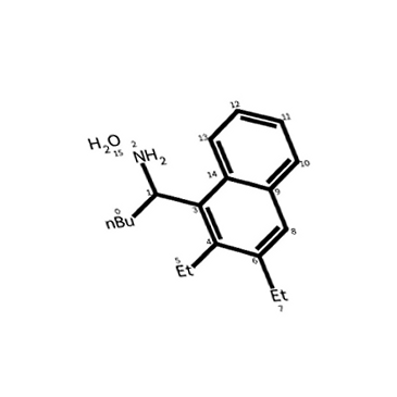 CCCCC(N)c1c(CC)c(CC)cc2ccccc12.O